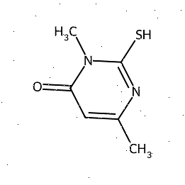 Cc1cc(=O)n(C)c(S)n1